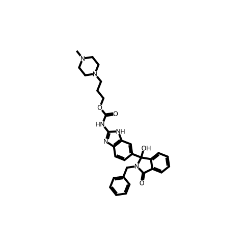 CN1CCN(CCCOC(=O)Nc2nc3ccc(C4(O)c5ccccc5C(=O)N4Cc4ccccc4)cc3[nH]2)CC1